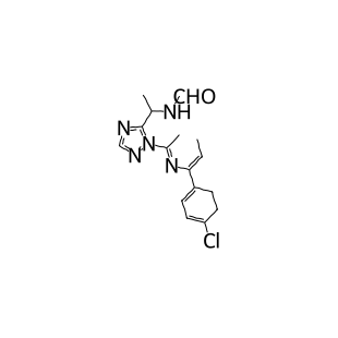 C/C=C(\N=C(/C)n1ncnc1C(C)NC=O)C1=CC=C(Cl)CC1